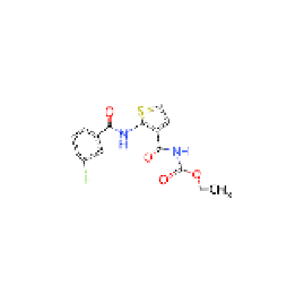 CCOC(=O)NC(=O)c1ccsc1NC(=O)c1cccc(F)c1